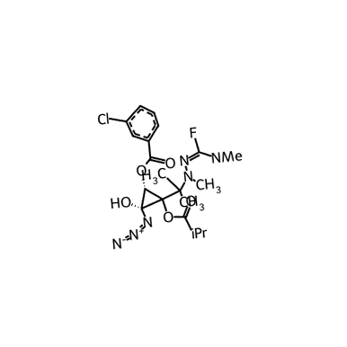 CN/C(F)=N\N(C)C(C)(C)C1(OC(=O)C(C)C)[C@@H](OC(=O)c2cccc(Cl)c2)[C@]1(O)N=[N+]=[N-]